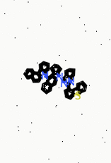 c1ccc2c(-n3c4ccccc4c4c5ccccc5ccc43)c3c4ccccc4n(-c4nc(-c5cccc6sc7ccccc7c56)nc5ccccc45)c3cc2c1